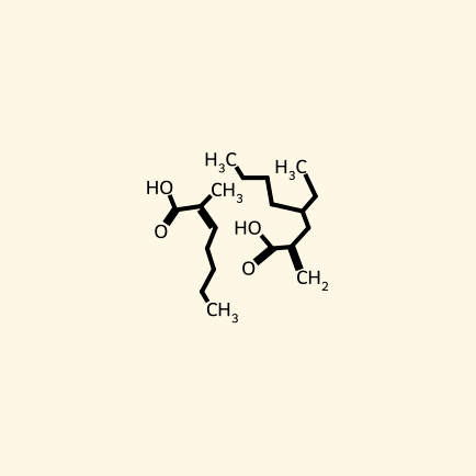 C=C(CC(CC)CCCC)C(=O)O.CCCCC=C(C)C(=O)O